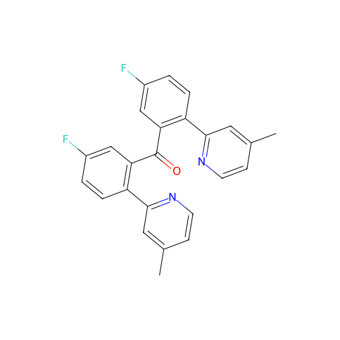 Cc1ccnc(-c2ccc(F)cc2C(=O)c2cc(F)ccc2-c2cc(C)ccn2)c1